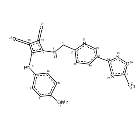 COc1ccc(Nc2c(NCc3ccc(-c4noc(C(F)(F)F)n4)cn3)c(=O)c2=O)cc1